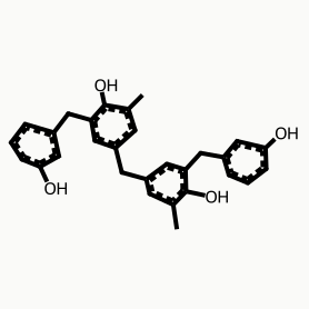 Cc1cc(Cc2cc(C)c(O)c(Cc3cccc(O)c3)c2)cc(Cc2cccc(O)c2)c1O